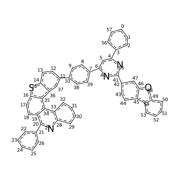 c1ccc(-c2cc(-c3ccc(-c4ccc5sc6ccc7c(-c8ccccc8)nc8ccccc8c7c6c5c4)cc3)nc(-c3ccc4c(c3)oc3ccccc34)n2)cc1